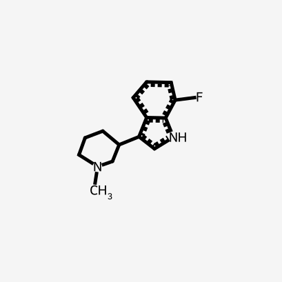 CN1CCCC(c2c[nH]c3c(F)cccc23)C1